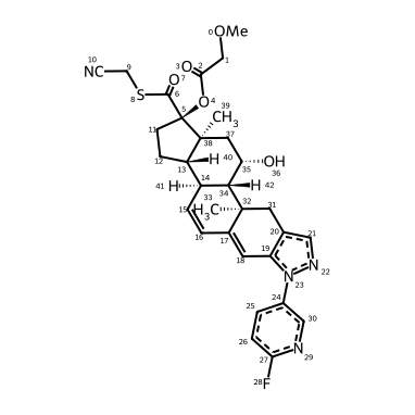 COCC(=O)O[C@]1(C(=O)SCC#N)CC[C@H]2[C@@H]3C=CC4=Cc5c(cnn5-c5ccc(F)nc5)C[C@]4(C)[C@H]3[C@@H](O)C[C@@]21C